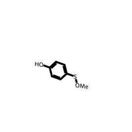 COSc1ccc(O)cc1